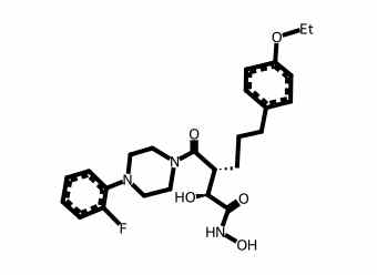 CCOc1ccc(CCC[C@@H](C(=O)N2CCN(c3ccccc3F)CC2)[C@H](O)C(=O)NO)cc1